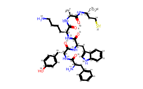 CC(C)[C@H](NC(=O)[C@H](CCCCN)NC(=O)[C@@H](Cc1c[nH]c2ccccc12)NC(=O)[C@@H](Cc1ccc(O)cc1)NC(=O)[C@H](N)Cc1ccccc1)C(=O)N[C@@H](CCS)C(=O)O